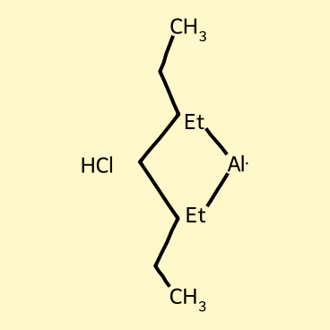 CCCCCCC.C[CH2][Al][CH2]C.Cl